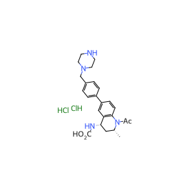 CC(=O)N1c2ccc(-c3ccc(CN4CCNCC4)cc3)cc2[C@@H](NC(=O)O)C[C@H]1C.Cl.Cl